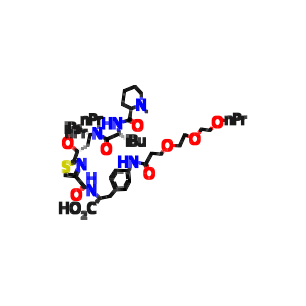 CCCOCCOCCOCCC(=O)Nc1ccc(C[C@H](NC(=O)c2csc([C@@H](C[C@H](C(C)C)N(CCC)C(=O)[C@@H](NC(=O)[C@H]3CCCCN3C)[C@@H](C)CC)OCCC)n2)C(=O)O)cc1